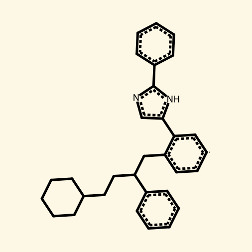 [c]1ccc(CC(CCC2CCCCC2)c2ccccc2)c(-c2cnc(-c3ccccc3)[nH]2)c1